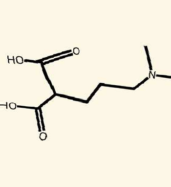 CN(C)CCCC(C(=O)O)C(=O)O